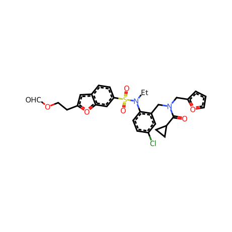 CCN(c1ccc(Cl)cc1CN(Cc1ccco1)C(=O)C1CC1)S(=O)(=O)c1ccc2cc(CCOC=O)oc2c1